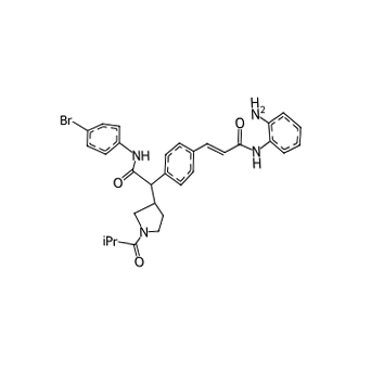 CC(C)C(=O)N1CCC(C(C(=O)Nc2ccc(Br)cc2)c2ccc(/C=C/C(=O)Nc3ccccc3N)cc2)C1